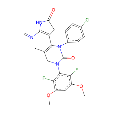 C=NC1=C(C2=C(C)CN(c3c(F)c(OC)cc(OC)c3F)C(=O)N2c2ccc(Cl)cc2)CC(=O)N1